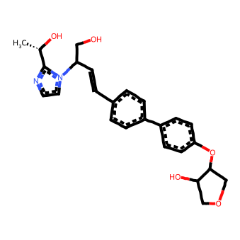 C[C@H](O)c1nccn1C(/C=C/c1ccc(-c2ccc(OC3COCC3O)cc2)cc1)CO